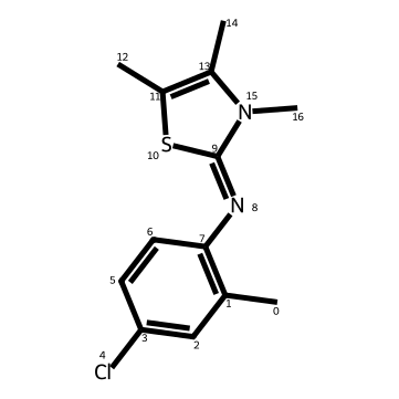 Cc1cc(Cl)ccc1N=c1sc(C)c(C)n1C